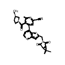 Cc1nc(C#N)cc(-c2ccnc3cc(CN4C(=O)C5C(C4=O)C5(C)C)sc23)c1C(=O)N1CC[C@@H](O)C1